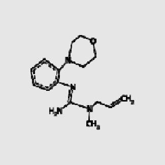 C=CCN(C)/C(N)=N/c1ccccc1N1CCOCC1